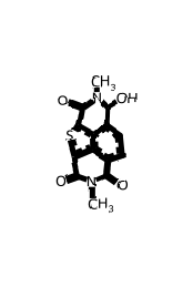 CN1C(=O)c2ccc3c4c(sc(c24)C1=O)C(=O)N(C)C3O